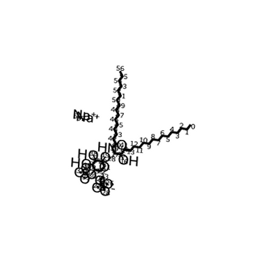 CCCCCCCCCCCCC/C=C/[C@@H](O)[C@H](CO[C@H]1O[C@H](COS(=O)(=O)[O-])[C@@H](OS(=O)(=O)[O-])[C@H](O)[C@H]1O)NC(=O)CCCCCCCCCCCCCCC.[Na+].[Na+]